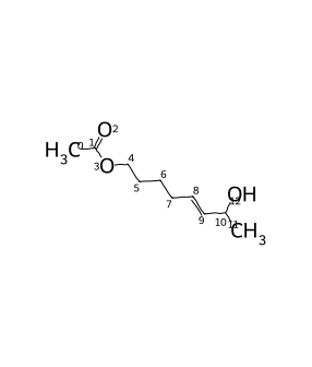 CC(=O)OCCCCC=CC(C)O